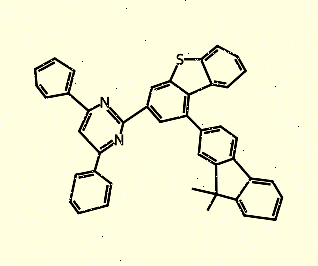 CC1(C)c2ccccc2-c2ccc(-c3cc(-c4nc(-c5ccccc5)cc(-c5ccccc5)n4)cc4sc5ccccc5c34)cc21